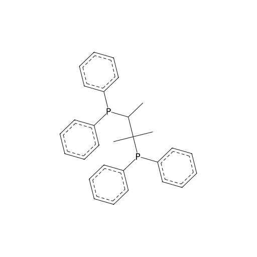 CC(P(c1ccccc1)c1ccccc1)C(C)(C)P(c1ccccc1)c1ccccc1